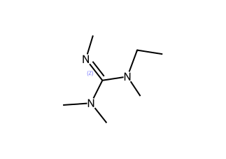 CCN(C)/C(=N\C)N(C)C